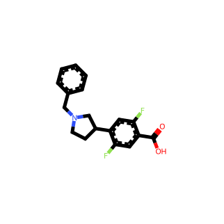 O=C(O)c1cc(F)c(C2CCN(Cc3ccccc3)C2)cc1F